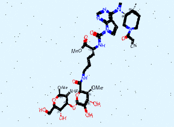 COC(=O)[C@H](CCCCNC(=O)C1O[C@@H](O[C@@H]2C(NC(C)=O)[C@H](OC)OC(CO)[C@H]2O)C(O)[C@@H](O)[C@@H]1OC)NC(=O)n1ccc2c(N(C)[C@H]3CN(C(=O)CC#N)CC[C@H]3C)ncnc21